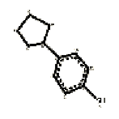 Sc1ccc(C2CCCC2)cc1